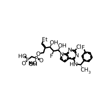 CC/C=C(/COP(=O)(O)CP(=O)(O)O)[C@@H](O)[C@H](F)[C@@H](O)n1ccc2c(N[C@@H](C)c3cccc(F)c3)nc(Cl)nc21